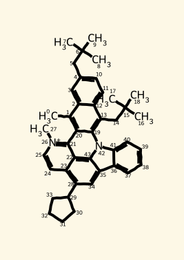 Cc1c2cc(CC(C)(C)C)ccc2c(CC(C)(C)C)c2c1c1c3c(cc[n+]1C)c(C1CCCC1)cc1c4ccccc4n2c13